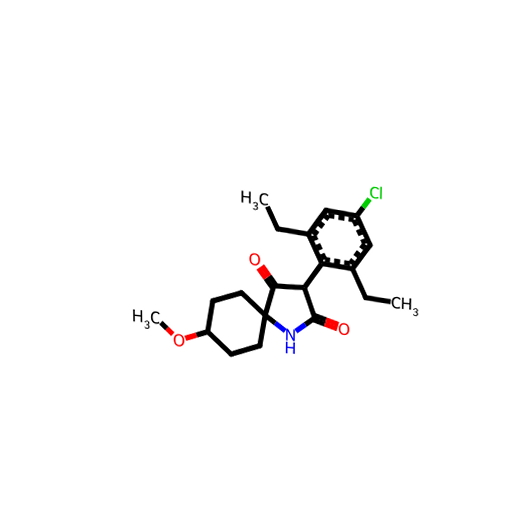 CCc1cc(Cl)cc(CC)c1C1C(=O)NC2(CCC(OC)CC2)C1=O